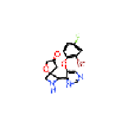 O=C1COC2(CNC2c2ncncc2Oc2ccc(F)cc2Br)C1